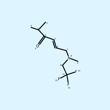 CC(C)C(=O)/C=C/CN(C)CC(F)(F)F